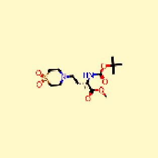 COC(=O)[C@H](CCN1CCS(=O)(=O)CC1)NC(=O)OC(C)(C)C